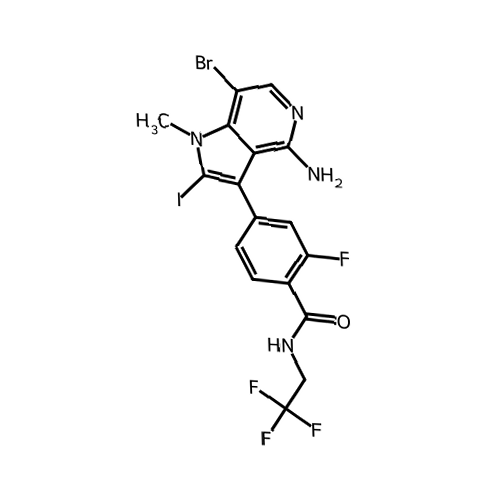 Cn1c(I)c(-c2ccc(C(=O)NCC(F)(F)F)c(F)c2)c2c(N)ncc(Br)c21